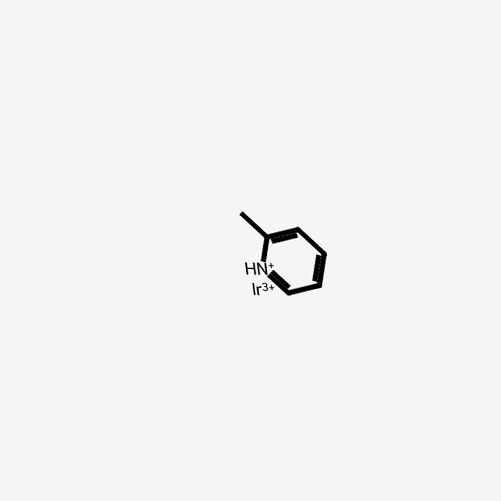 Cc1cccc[nH+]1.[Ir+3]